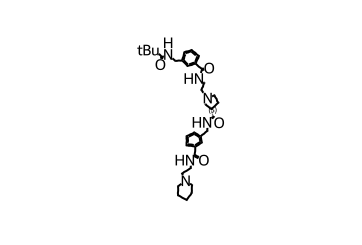 CC(C)(C)C(=O)NCc1cccc(C(=O)NCCN2CC[C@H](C(=O)NCc3cccc(C(=O)NCCN4CCCCC4)c3)C2)c1